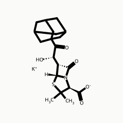 CC1(C)S[C@@H]2[C@H]([C@H](O)C(=O)C34CC5CC(CC(C5)C3)C4)C(=O)N2[C@H]1C(=O)[O-].[K+]